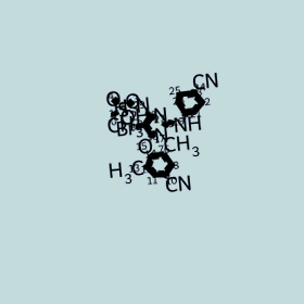 CCS(=O)(=O)O.Cc1cc(C#N)cc(C)c1Oc1nc(Nc2ccc(C#N)cc2)nc(N)c1Br